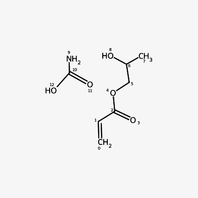 C=CC(=O)OCC(C)O.NC(=O)O